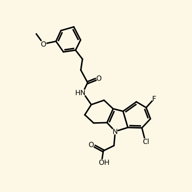 COc1cccc(CCC(=O)NC2CCc3c(c4cc(F)cc(Cl)c4n3CC(=O)O)C2)c1